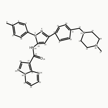 Cc1ccc(-n2nc(-c3ccc(CN4CCN(C)CC4)cc3)cc2NC(=O)c2cnn3cccnc23)cc1